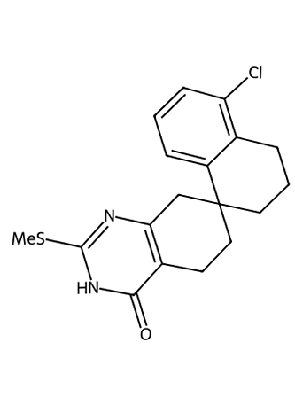 CSc1nc2c(c(=O)[nH]1)CCC1(CCCc3c(Cl)cccc31)C2